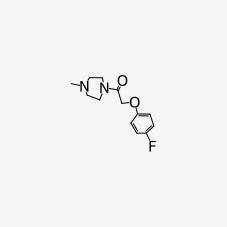 CN1CCN(C(=O)COc2ccc(F)cc2)CC1